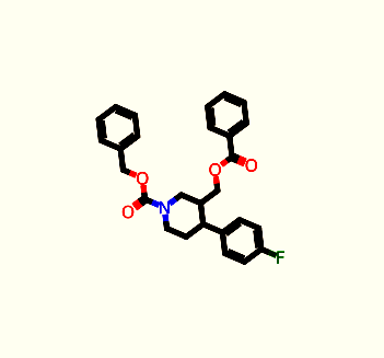 O=C(OCC1CN(C(=O)OCc2ccccc2)CCC1c1ccc(F)cc1)c1ccccc1